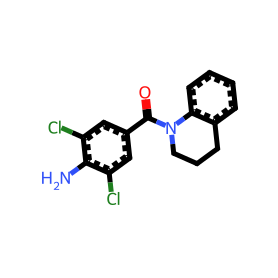 Nc1c(Cl)cc(C(=O)N2CCCc3ccccc32)cc1Cl